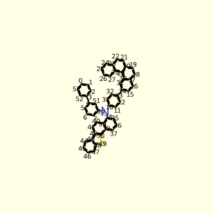 c1ccc(-c2cccc(N(c3ccc(-c4ccc5ccc6ccc7ccccc7c6c5c4)cc3)c3cccc4c3ccc3c5ccccc5sc43)c2)cc1